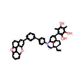 C=CC1=C(/C=C\N(c2ccc(-c3cccc(-c4cc5c6c(ccc7oc8cccc(c8c76)O5)c4)c3)cc2)c2ccc(-c3c(C)c(O)c(C)c(O)c3O)cc2)C=CCC1